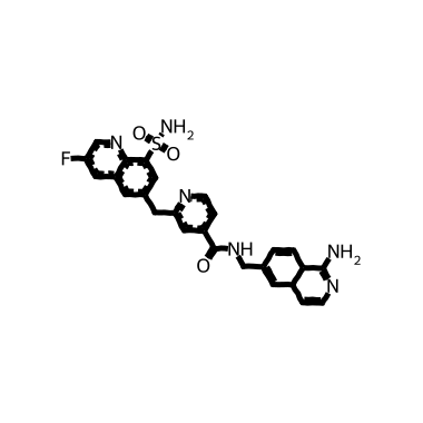 NC1=NC=CC2C=C(CNC(=O)c3ccnc(Cc4cc(S(N)(=O)=O)c5ncc(F)cc5c4)c3)C=CC12